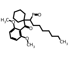 CCCCCCCC(P=O)C1(C(=O)c2c(OC)cccc2OC)CCCCC1